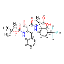 CC(C)(C)OC(=O)N[C@H](Cc1ccccc1)[C@H](O)C(=O)N[C@](C)(C(=O)O)c1cccc(C(F)(F)F)c1